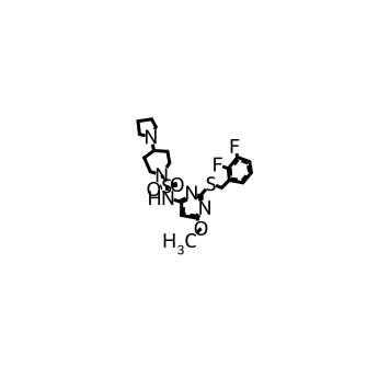 COc1cc(NS(=O)(=O)N2CCC(N3CCCC3)CC2)nc(SCc2cccc(F)c2F)n1